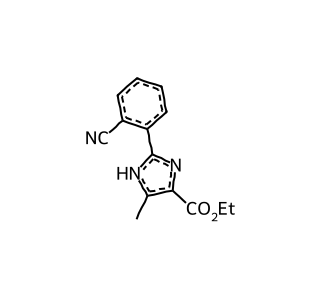 CCOC(=O)c1nc(-c2ccccc2C#N)[nH]c1C